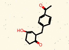 CC(=O)c1ccc(CC2C=C(O)CCC2=O)cc1